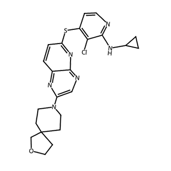 Clc1c(Sc2ccc3nc(N4CCC5(CCOC5)CC4)cnc3n2)ccnc1NC1CC1